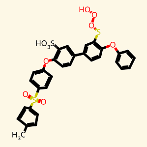 Cc1ccc(S(=O)(=O)c2ccc(Oc3ccc(-c4ccc(Oc5ccccc5)c(SOOO)c4)cc3S(=O)(=O)O)cc2)cc1